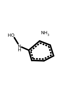 N.ONc1ccccc1